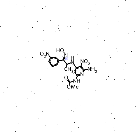 COC(=O)Nc1cc(NC(C)/C(=N/O)c2cccc([N+](=O)[O-])c2)c([N+](=O)[O-])c(N)n1